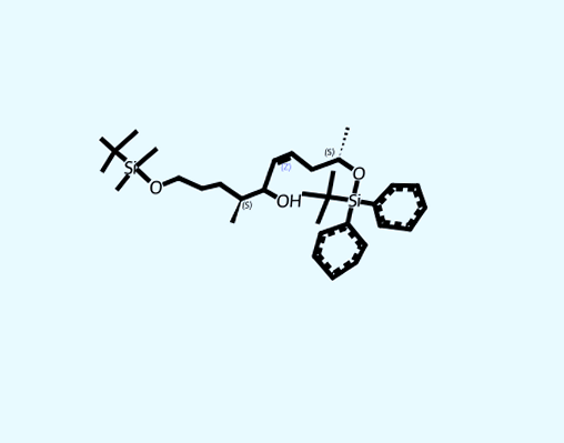 C[C@@H](C/C=C\C(O)[C@@H](C)CCCO[Si](C)(C)C(C)(C)C)O[Si](c1ccccc1)(c1ccccc1)C(C)(C)C